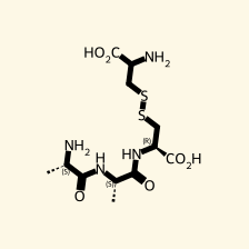 C[C@H](N)C(=O)N[C@@H](C)C(=O)N[C@@H](CSSCC(N)C(=O)O)C(=O)O